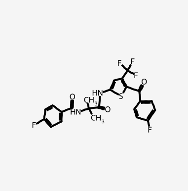 CC(C)(NC(=O)c1ccc(F)cc1)C(=O)Nc1cc(C(F)(F)F)c(C(=O)c2ccc(F)cc2)s1